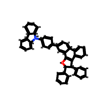 c1ccc(C2Oc3c(c4ccccc4c4ccc(-c5ccc(-n6c7ccccc7c7ccccc76)cc5)cc34)C2c2ccccc2)cc1